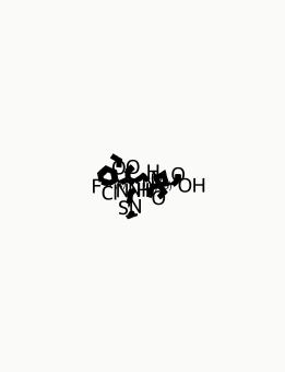 CCOC(=O)C1=C(CN2[C@@H]3COCC34[C@H](CC(=O)O)C[C@@H]24)NC(c2nccs2)=N[C@H]1c1cccc(F)c1Cl